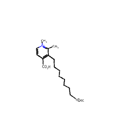 CCCCCCCCCCCCCCCCCCc1c(C(=O)O)cc[n+](C)c1C